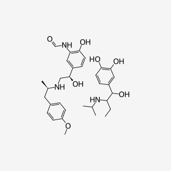 CCC(NC(C)C)C(O)c1ccc(O)c(O)c1.COc1ccc(C[C@@H](C)NC[C@H](O)c2ccc(O)c(NC=O)c2)cc1